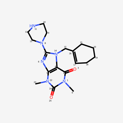 Cn1c(=O)c2c(nc(N3CCNCC3)n2CC2=CCCCC2)n(C)c1=O